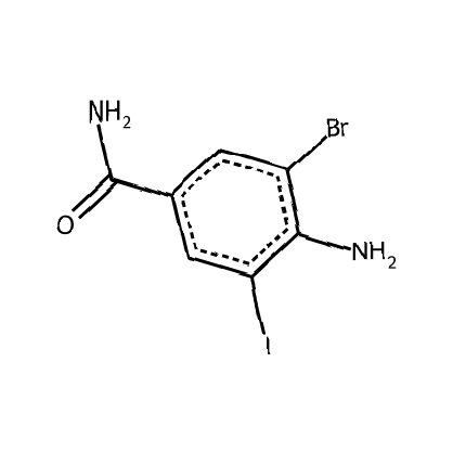 NC(=O)c1cc(Br)c(N)c(I)c1